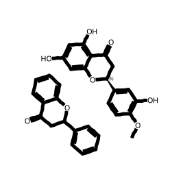 COc1ccc([C@@H]2CC(=O)c3c(O)cc(O)cc3O2)cc1O.O=C1CC(c2ccccc2)Oc2ccccc21